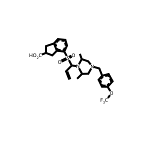 C=CC(N1C(C)CN(Cc2ccc(OC(F)(F)F)cc2)CC1C)S(=O)(=O)c1cccc2c1CC(C(=O)O)C2